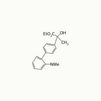 CCOC(=O)C(C)(O)c1ccc(-c2ccccc2NC)cc1